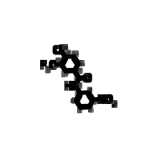 O=C(Nc1cccc([N+](=O)[O-])c1)c1ccc(Cl)c(C(F)(F)F)c1